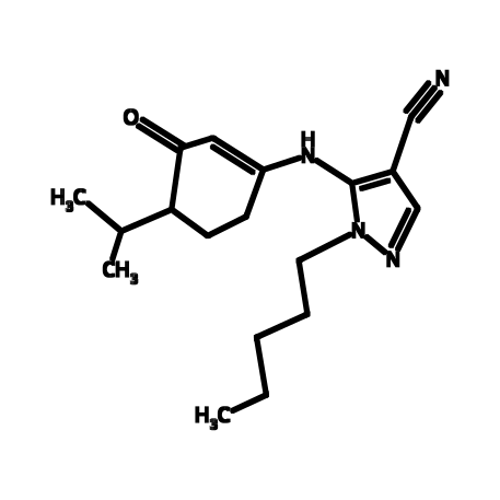 CCCCCn1ncc(C#N)c1NC1=CC(=O)C(C(C)C)CC1